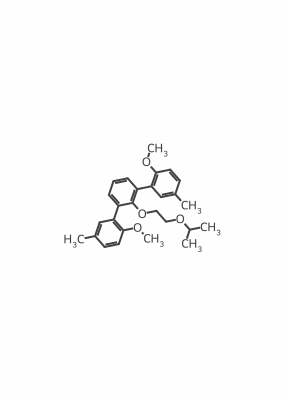 COc1ccc(C)cc1-c1cccc(-c2cc(C)ccc2OC)c1OCCOC(C)C